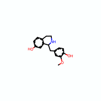 COc1cc(CC2NCCc3ccc(O)cc32)ccc1O